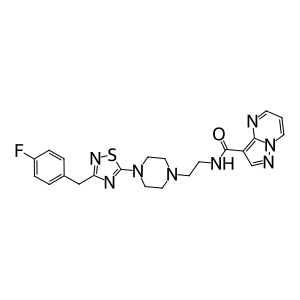 O=C(NCCN1CCN(c2nc(Cc3ccc(F)cc3)ns2)CC1)c1cnn2cccnc12